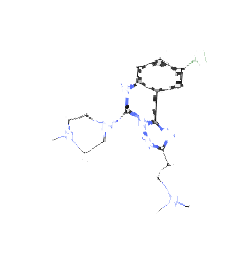 CN(C)CCc1nc2c3cc(Cl)ccc3nc(N3CCN(C)CC3)n2n1